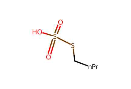 CCCCSS(=O)(=O)O